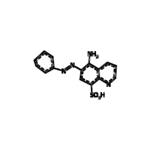 Nc1c(/N=N/c2ccccc2)cc(S(=O)(=O)O)c2ncccc12